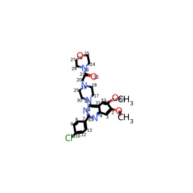 COc1cc2nc(-c3ccc(Cl)cc3)nc(N3CCN(CC(=O)N4CCOCC4)CC3)c2cc1OC